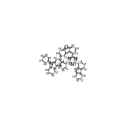 c1ccc(-c2nc(-c3cccc4c3sc3ccccc34)nc(-c3cccc4oc5ccc(-c6ccc7c8ccccc8n(-c8ccccc8)c7c6)cc5c34)n2)cc1